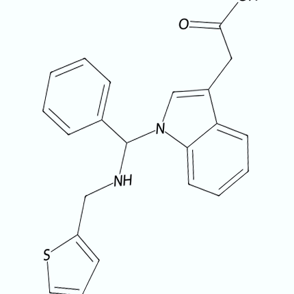 O=C(O)Cc1cn(C(NCc2cccs2)c2ccccc2)c2ccccc12